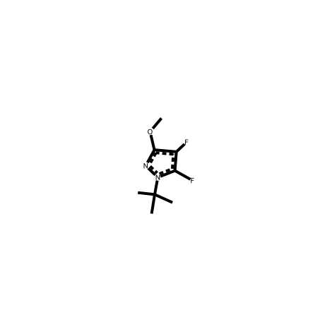 COc1nn(C(C)(C)C)c(F)c1F